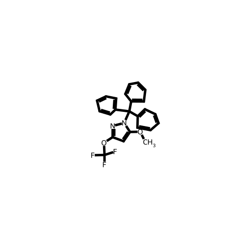 COc1cc(OC(F)(F)F)nn1C(c1ccccc1)(c1ccccc1)c1ccccc1